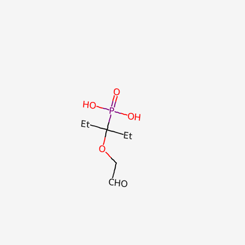 CCC(CC)(OCC=O)P(=O)(O)O